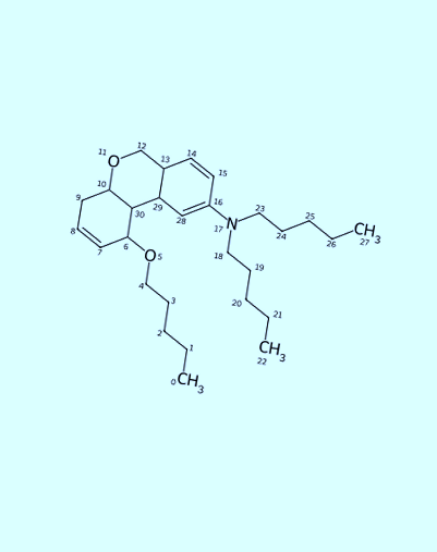 CCCCCOC1C=CCC2OCC3C=CC(N(CCCCC)CCCCC)=CC3C12